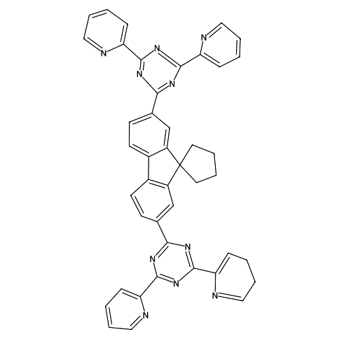 C1=NC(c2nc(-c3ccc4c(c3)C3(CCCC3)c3cc(-c5nc(-c6ccccn6)nc(-c6ccccn6)n5)ccc3-4)nc(-c3ccccn3)n2)=CCC1